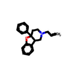 C=CCN1CCC2(c3ccccc3)Oc3ccccc3C2C1